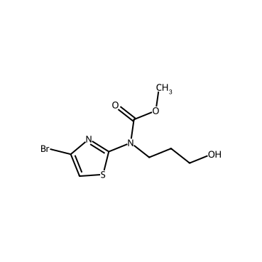 COC(=O)N(CCCO)c1nc(Br)cs1